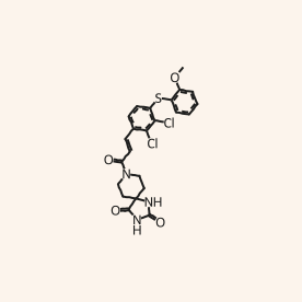 COc1ccccc1Sc1ccc(C=CC(=O)N2CCC3(CC2)NC(=O)NC3=O)c(Cl)c1Cl